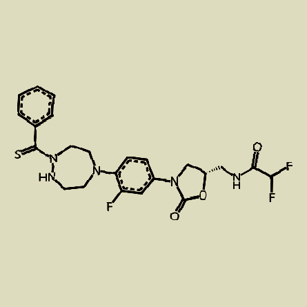 O=C(NC[C@H]1CN(c2ccc(N3CCNN(C(=S)c4ccccc4)CC3)c(F)c2)C(=O)O1)C(F)F